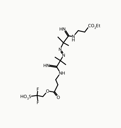 CCOC(=O)CCNC(=N)C(C)(C)N=NC(C)(C)C(=N)NCCC(=O)OCC(F)(F)S(=O)(=O)O